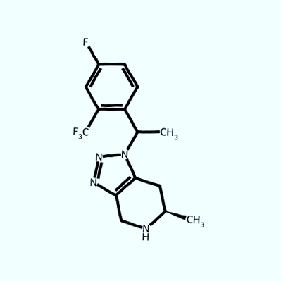 CC(c1ccc(F)cc1C(F)(F)F)n1nnc2c1C[C@@H](C)NC2